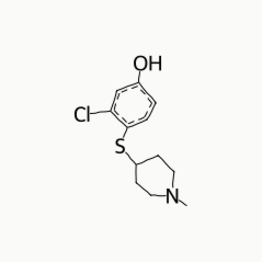 CN1CCC(Sc2ccc(O)cc2Cl)CC1